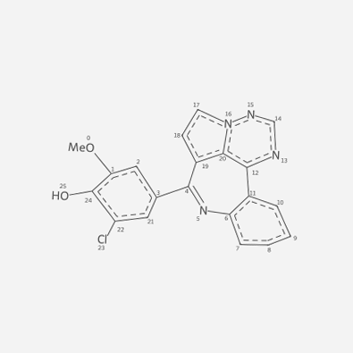 COc1cc(C2=Nc3ccccc3-c3ncnn4ccc2c34)cc(Cl)c1O